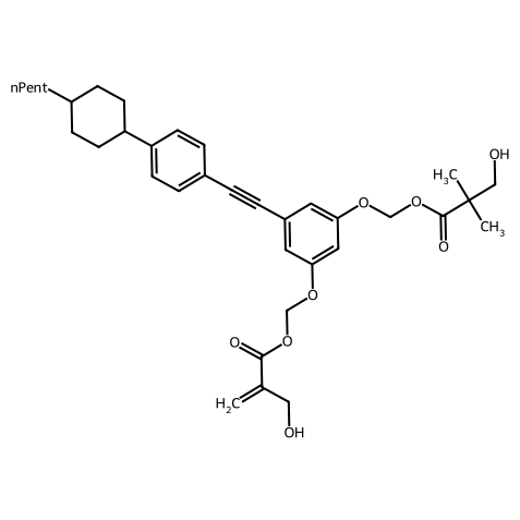 C=C(CO)C(=O)OCOc1cc(C#Cc2ccc(C3CCC(CCCCC)CC3)cc2)cc(OCOC(=O)C(C)(C)CO)c1